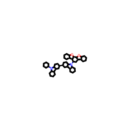 c1ccc(-n2c3ccccc3c3cc(-c4ccc5c(c4)c4ccccc4n5-c4cc5c6ccccc6oc5c5oc6ccccc6c45)ccc32)cc1